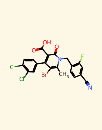 Cc1c(Br)c(-c2ccc(Cl)c(Cl)c2)c(C(=O)O)c(=O)n1Cc1ccc(C#N)cc1F